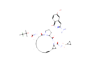 COc1ccc2c(O[C@@H]3C[C@H]4C(=O)N[C@]5(C(=O)NS(=O)(=O)C6CC6)C[C@H]5/C=C\CC[C@@H](C)C[C@@H](C)[C@H](NC(=O)OC(C)(C)C(C)(F)F)C(=O)N4C3)nc(N(C)C)cc2c1